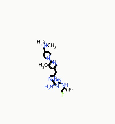 CCCC(CF)Nc1nc(N)c2ncc(Cc3cnc(N4CCC(CN(C)C)CC4)c(C)c3)n2n1